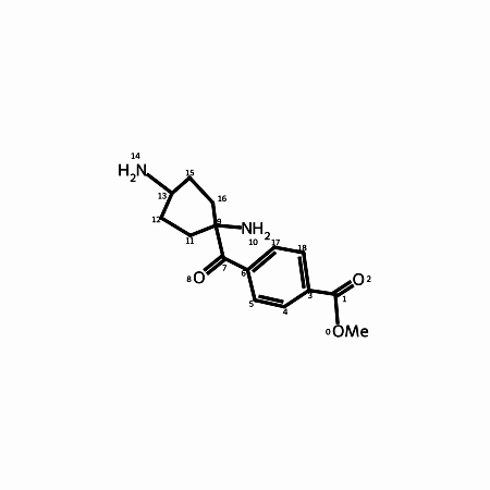 COC(=O)c1ccc(C(=O)C2(N)CCC(N)CC2)cc1